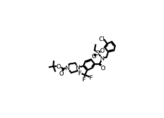 CCS(=O)(=O)N(Cc1cccc(Cl)c1)C(=O)c1ccc(N2CCN(C(=O)OC(C)(C)C)CC2)c(C(F)(F)F)c1